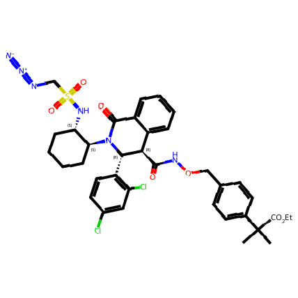 CCOC(=O)C(C)(C)c1ccc(CONC(=O)[C@@H]2c3ccccc3C(=O)N([C@H]3CCCC[C@@H]3NS(=O)(=O)CN=[N+]=[N-])[C@H]2c2ccc(Cl)cc2Cl)cc1